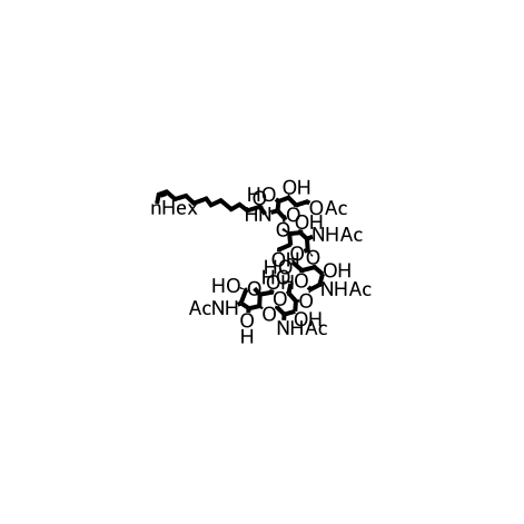 CCCCCC/C=C\CCCCCCCCCC(=O)NC1C(O)[C@H](O)C(COC(C)=O)O[C@H]1O[C@@H]1C(CO)O[C@@H](O[C@@H]2C(CO)O[C@@H](O[C@@H]3C(CO)O[C@@H](O[C@@H]4C(CO)O[C@@H](O)C(NC(C)=O)C4O)C(NC(C)=O)C3O)[C@@H](NC(C)=O)C2O)C(NC(C)=O)C1O